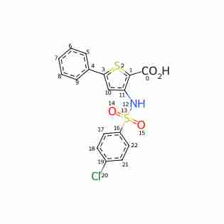 O=C(O)c1sc(-c2ccccc2)cc1NS(=O)(=O)c1ccc(Cl)cc1